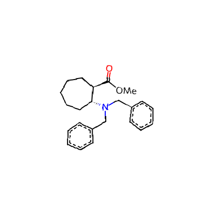 COC(=O)[C@@H]1CCCCC[C@H]1N(Cc1ccccc1)Cc1ccccc1